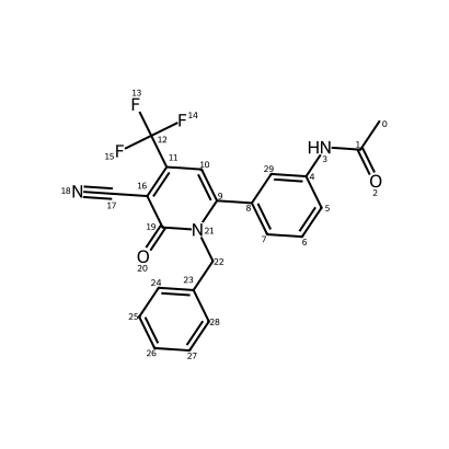 CC(=O)Nc1cccc(-c2cc(C(F)(F)F)c(C#N)c(=O)n2Cc2ccccc2)c1